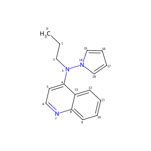 CCCN(c1ccnc2ccccc12)n1cccc1